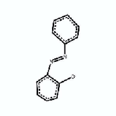 [O]c1ccccc1/N=N/c1ccccc1